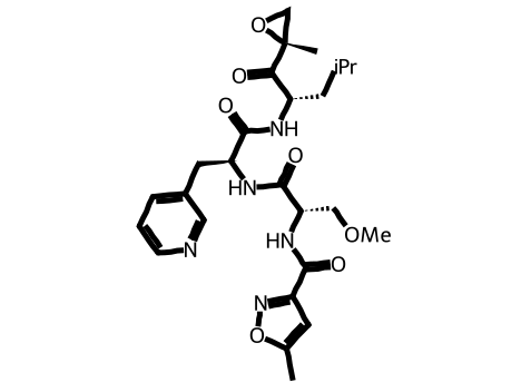 COC[C@H](NC(=O)c1cc(C)on1)C(=O)N[C@@H](Cc1cccnc1)C(=O)N[C@@H](CC(C)C)C(=O)[C@@]1(C)CO1